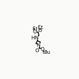 CCOC(CNC1CN(C(=O)OC(C)(C)C)C1)OCC